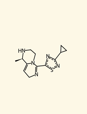 C[C@H]1NCCN2C1=CCN=C2c1nc(C2CC2)ns1